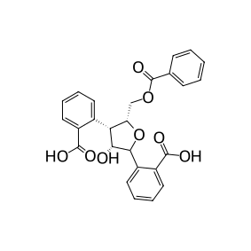 O=C(OC[C@@H]1OC(c2ccccc2C(=O)O)[C@H](O)[C@@H]1c1ccccc1C(=O)O)c1ccccc1